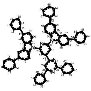 c1ccc(-c2ccc3c(c2)c2cc(-c4ccccc4)ccc2n3-c2cc(-c3cc(-c4ccccc4)nc(-c4ccccc4)n3)cc(-n3c4ccc(-c5ccccc5)cc4c4cc(-c5ccccc5)ccc43)n2)cc1